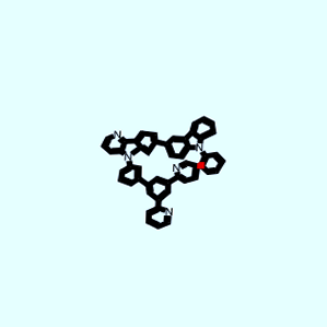 c1ccc(-n2c3ccccc3c3cc(-c4ccc5c6ncccc6n(-c6cccc(-c7cc(-c8ccccn8)cc(-c8ccccn8)c7)c6)c5c4)ccc32)cc1